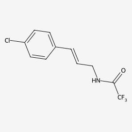 O=C(NC/C=C/c1ccc(Cl)cc1)C(F)(F)F